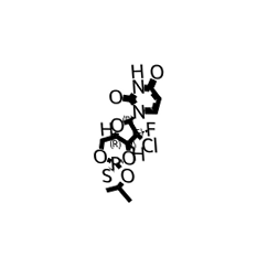 CC(C)OP1(=S)OC[C@H]2O[C@@H](n3ccc(=O)[nH]c3=O)[C@@](F)(Cl)[C@@H]2O1